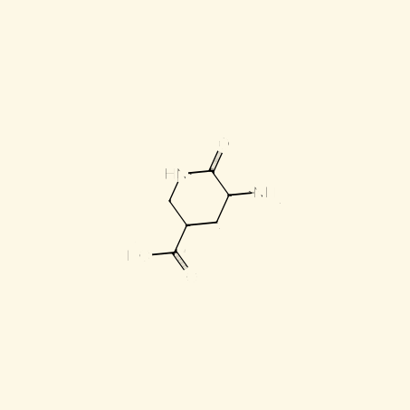 NC1CC(C(=O)O)CNC1=O